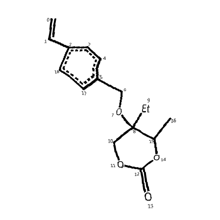 C=Cc1ccc(COC2(CC)COC(=O)OC2C)cc1